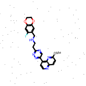 COc1ccc2nccc(-c3cnc(CCNCc4cc5c(cc4F)OCCO5)nn3)c2n1